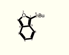 CCCCc1occ2ccccc12